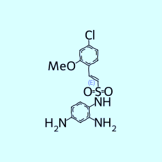 COc1cc(Cl)ccc1/C=C/S(=O)(=O)Nc1ccc(N)cc1N